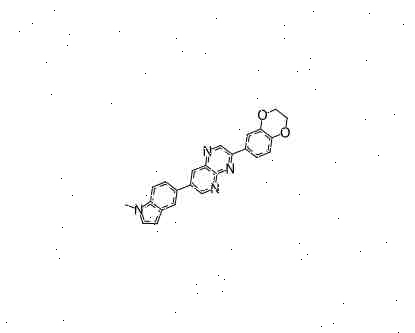 Cn1ccc2cc(-c3cnc4nc(-c5ccc6c(c5)OCCO6)cnc4c3)ccc21